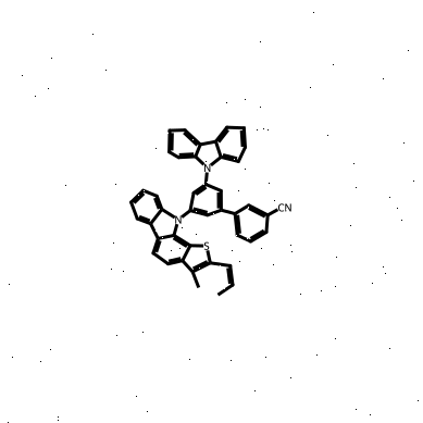 C/C=C\c1sc2c(ccc3c4ccccc4n(-c4cc(-c5cccc(C#N)c5)cc(-n5c6ccccc6c6ccccc65)c4)c32)c1C